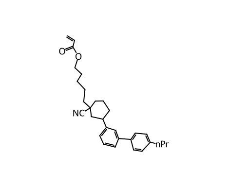 C=CC(=O)OCCCCCC1(C#N)CCCC(c2cccc(-c3ccc(CCC)cc3)c2)C1